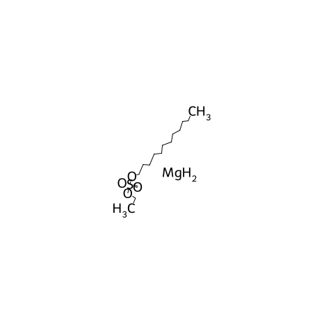 CCCCCCCCCCCCOS(=O)(=O)OCC.[MgH2]